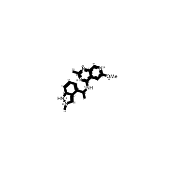 COc1cc2c(NC(C)C3=CC=CC4NN(C)C=C34)nc(C)nc2cn1